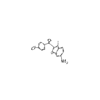 Cc1c(C(=O)c2ccc(Cl)cc2)oc2cc(N)ccc12